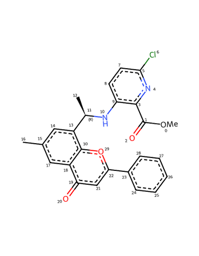 COC(=O)c1nc(Cl)ccc1N[C@H](C)c1cc(C)cc2c(=O)cc(-c3ccccc3)oc12